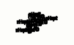 CCCCCCCC(=O)OCC(CO[C@@](COC(=O)CCCCCCC)(CC(O)CO)[C@H]1OC[C@H](OC(=O)CCCCCCC)[C@H]1OC(=O)CCCCCCC)OC(=O)CCCCCCC